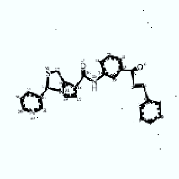 O=C(C=Cc1ccccc1)c1cccc(NC(=O)c2ccn3c2CSC3c2cccnc2)c1